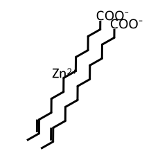 CC=CCCCCCCCCCC(=O)[O-].CC=CCCCCCCCCCC(=O)[O-].[Zn+2]